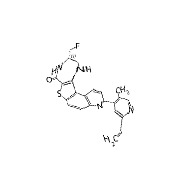 C=Cc1cc(-c2ccc3c(ccc4sc5c(c43)NC[C@@H](CF)NC5=O)n2)c(C)cn1